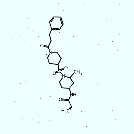 C=CC(=O)NC1CCN(S(=O)(=O)C2CCN(C(=O)CCc3ccccc3)CC2)C(C)C1